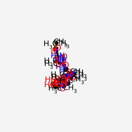 CCC(C)C(C(CC(=O)N1CCCC1C(OC)C(C)C(=O)NC(C)C(OC1OC(CO)C(O)C(O)[C@@H]1O)c1ccccc1)OC)N(C)C(=O)C(NC(=O)C(C(C)C)N(C)C(=O)OCc1ccc(NC(=O)C(CCCNC(N)=O)NCC(=O)C(NC(=O)CCCCCN2C(=O)CC(SCC(C)(C)C)C2=O)C(C)C)cc1)C(C)C